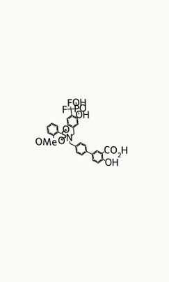 COc1ccccc1S(=O)(=O)N(Cc1ccc(-c2ccc(O)c(C(=O)O)c2)cc1)Cc1ccc(C(F)(F)P(=O)(O)O)cc1